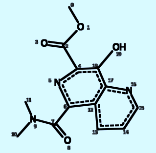 COC(=O)c1nc(C(=O)N(C)C)c2cccnc2c1O